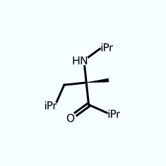 CC(C)C[C@](C)(NC(C)C)C(=O)C(C)C